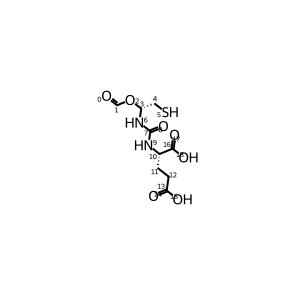 O=CO[C@H](CS)NC(=O)N[C@@H](CCC(=O)O)C(=O)O